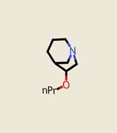 CCCOC1CN2CCCC1C2